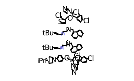 CC(C)N1CCN(c2ccc(OC[C@H]3CO[C@](Cn4cncn4)(c4ccc(Cl)cc4Cl)O3)cc2)CC1.CN(C/C=C/C#CC(C)(C)C)Cc1cccc2ccccc12.CN(C/C=C/C#CC(C)(C)C)Cc1cccc2ccccc12.Clc1ccc(C(Cn2ccnc2)OCc2ccsc2Cl)c(Cl)c1